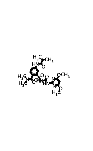 COc1cc(OC)nc(NC(=O)NS(=O)(=O)c2cc(NC(=O)C(C)C)ccc2C(=O)N(C)C)n1